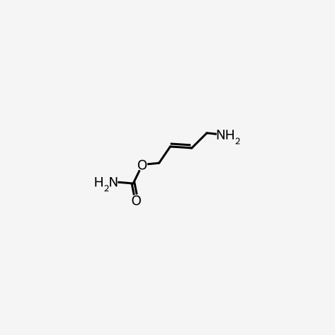 NC/C=C/COC(N)=O